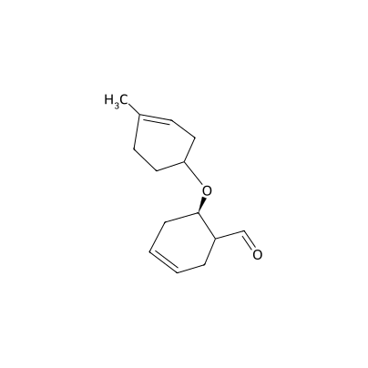 CC1=CCC(O[C@@H]2CC=CCC2C=O)CC1